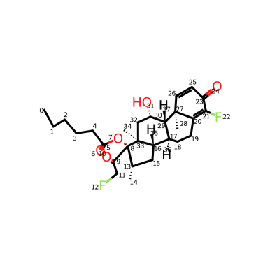 CCCCCC(=O)O[C@@]1(C(=O)CF)[C@@H](C)C[C@H]2[C@@H]3CCC4=C(F)C(=O)C=C[C@]4(C)[C@H]3[C@@H](O)C[C@@]21C